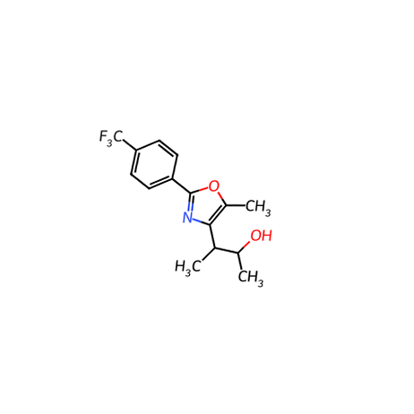 Cc1oc(-c2ccc(C(F)(F)F)cc2)nc1C(C)C(C)O